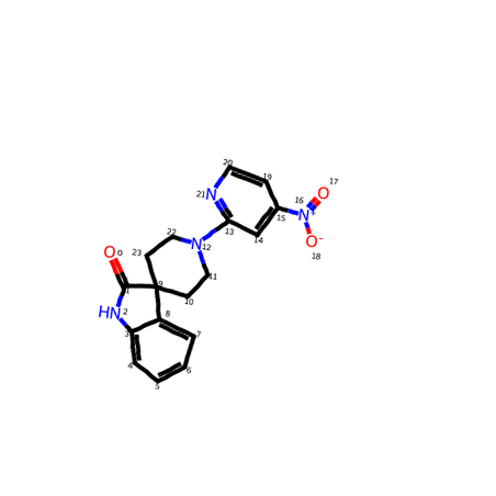 O=C1Nc2ccccc2C12CCN(c1cc([N+](=O)[O-])ccn1)CC2